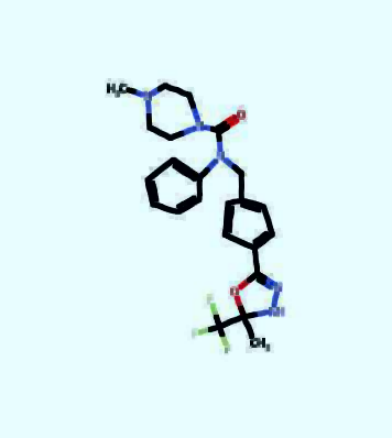 CN1CCN(C(=O)N(Cc2ccc(C3=NNC(C)(C(F)(F)F)O3)cc2)c2ccccc2)CC1